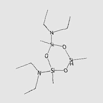 CCN(CC)[Si]1(C)O[SiH](C)O[Si](C)(N(CC)CC)O1